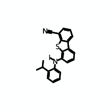 CC(C)c1ccccc1N(I)c1cccc2c1sc1c(C#N)cccc12